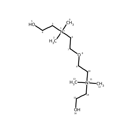 C[N+](C)(CCO)CCOCC[N+](C)(C)CCO